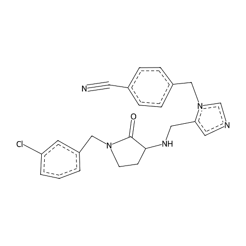 N#Cc1ccc(Cn2cncc2CNC2CCN(Cc3cccc(Cl)c3)C2=O)cc1